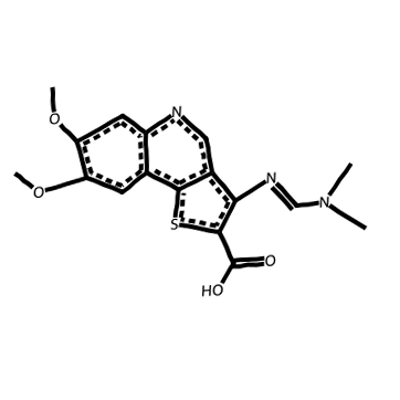 COc1cc2ncc3c(N=CN(C)C)c(C(=O)O)sc3c2cc1OC